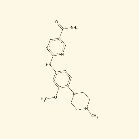 COc1cc(Nc2ncc(C(N)=O)cn2)ccc1N1CCN(C)CC1